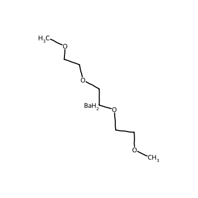 COCCOCCOCCOC.[BaH2]